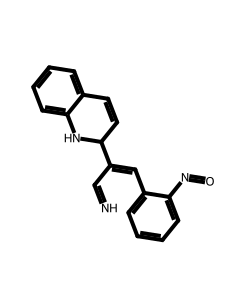 N=C/C(=C\c1ccccc1N=O)C1C=Cc2ccccc2N1